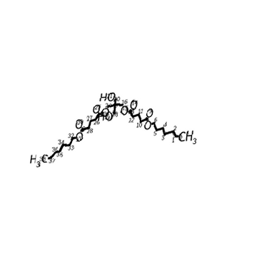 CCCCCCCOC(=O)CCCC(=O)OCC(CO)(CO)COC(=O)CCCC(=O)OCCCCCCC